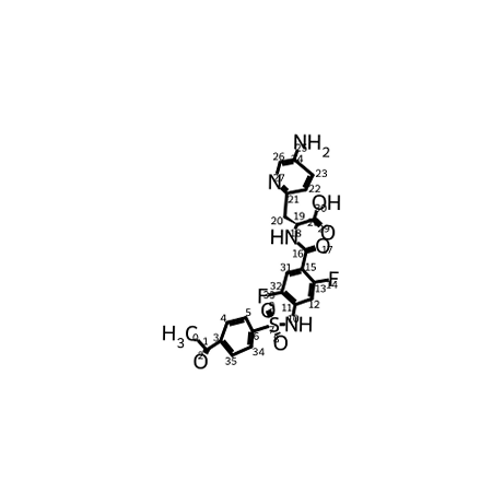 CC(=O)c1ccc(S(=O)(=O)Nc2cc(F)c(C(=O)N[C@@H](Cc3ccc(N)cn3)C(=O)O)cc2F)cc1